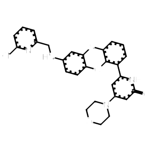 O=c1cc(N2CCOCC2)cc(-c2cccc3c2Oc2ccc(NCc4cccc(Cl)n4)cc2S3)[nH]1